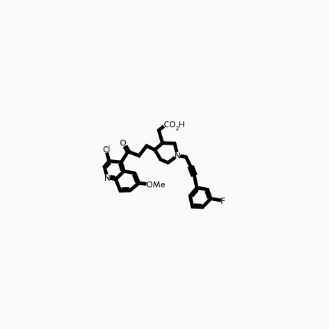 COc1ccc2ncc(Cl)c(C(=O)CCC3CCN(CC#Cc4cccc(F)c4)CC3CC(=O)O)c2c1